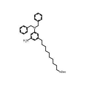 CCCCCCCCCCCCCCCCCCCCc1cc(N)cc(N(Cc2ccccc2)Cc2ccccc2)c1